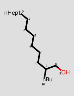 CCCCCCCCCCCCCC(CO)CCCC